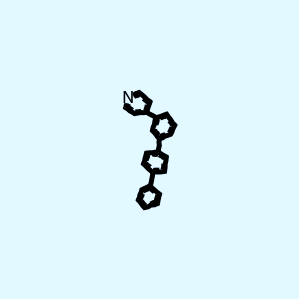 c1ccc(-c2ccc(-c3cccc(-c4ccncc4)c3)cc2)cc1